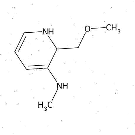 CNC1=CC=CN[C]1COC